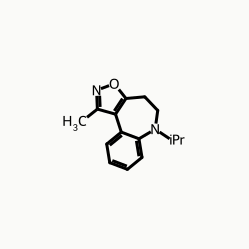 Cc1noc2c1-c1ccccc1N(C(C)C)CC2